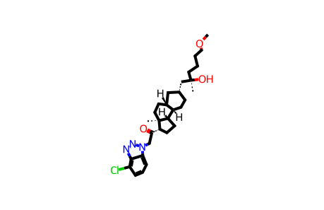 COCCCC[C@@](C)(O)C[C@@H]1CC[C@@H]2[C@H](CC[C@]3(C)[C@@H](C(=O)Cn4nnc5c(Cl)cccc54)CC[C@@H]23)C1